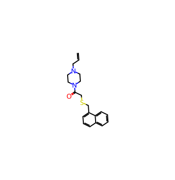 C=CCN1CCN(C(=O)CSCc2cccc3ccccc23)CC1